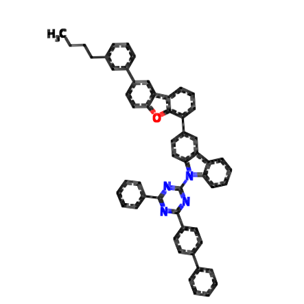 CCCCc1cccc(-c2ccc3oc4c(-c5ccc6c(c5)c5ccccc5n6-c5nc(-c6ccccc6)nc(-c6ccc(-c7ccccc7)cc6)n5)cccc4c3c2)c1